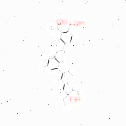 CC/C(=C\C=C\C(O)(CC)CC)c1cccc(CCc2ccc(CO)c(C(C)O)c2)c1